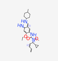 C=C/C=C\C(C1CC1)=[N+](\OC)C(=O)NC1=C/C(=C/NC2CCC(C)CC2)C(=N)C=C1OCC